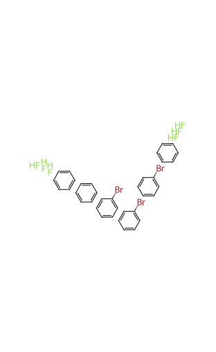 Brc1ccccc1.Brc1ccccc1.Brc1ccccc1.F.F.F.F.F.F.c1ccccc1.c1ccccc1.c1ccccc1